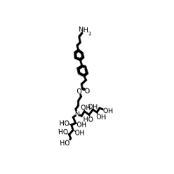 NCCCCc1ccc(-c2ccc(CCC(=O)OCCCCN(C[C@H](O)[C@@H](O)[C@H](O)[C@H](O)CO)C[C@H](O)[C@@H](O)[C@H](O)[C@H](O)CO)cc2)cc1